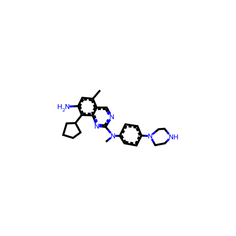 Cc1cc(N)c(C2CCCC2)c2nc(N(C)c3ccc(N4CCNCC4)cc3)ncc12